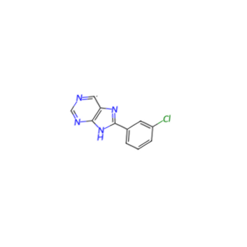 Clc1cccc(-c2nc3[c]ncnc3[nH]2)c1